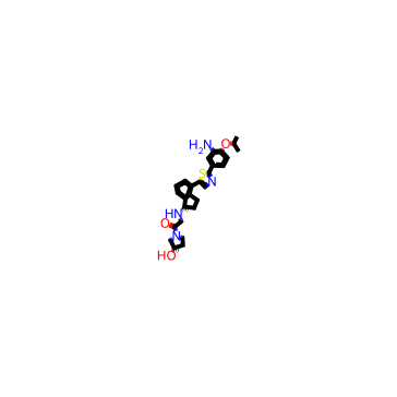 CC(C)Oc1ccc(-c2ncc(-c3cccc4c3CC[C@@H]4NCC(=O)N3CC[C@@H](O)C3)s2)cc1N